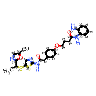 CC(Sc1cnc(NC(=O)Cc2ccc(OCCCC(=O)Nc3ccccc3N)cc2)s1)c1ncc(C(C)(C)C)o1